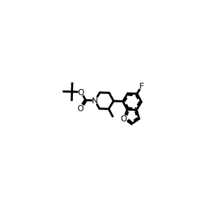 CC1CN(C(=O)OC(C)(C)C)CCC1c1cc(F)cc2ccoc12